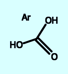 O=C(O)O.[Ar]